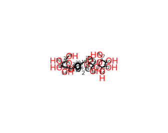 CC(C)C[C@](O[C@@H]1O[C@H](CO)[C@@H](O)[C@H](O)[C@H]1O)(C(=O)OCc1ccc(O[C@@H]2O[C@H](CO)[C@@H](O)[C@H](O)[C@H]2O)cc1)[C@H](O)C(=O)O